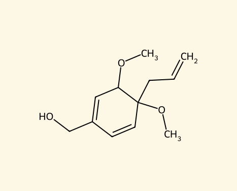 C=CCC1(OC)C=CC(CO)=CC1OC